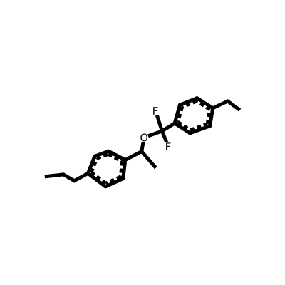 CCCc1ccc(C(C)OC(F)(F)c2ccc(CC)cc2)cc1